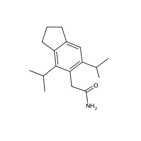 CC(C)c1cc2c(c(C(C)C)c1CC(N)=O)CCC2